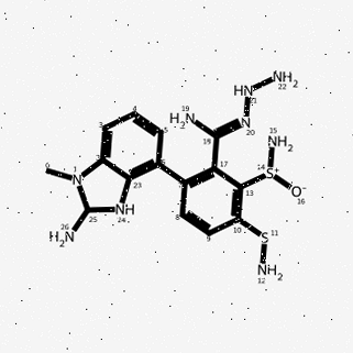 CN1c2cccc(-c3ccc(SN)c([S+](N)[O-])c3/C(N)=N/NN)c2NC1N